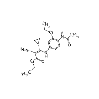 CCOC(=O)/C(C#N)=C(\Nc1ccc(NC(C)=O)c(OCC)c1)C1CC1